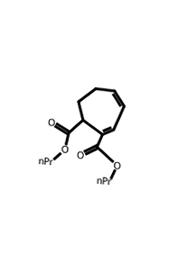 CCCOC(=O)C1=CC=CCCC1C(=O)OCCC